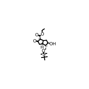 CCOC(=O)[C@@H]1C(=O)C[C@H]2C1C[C@@H](O)[C@@H]2CO[Si](C)(C)C(C)(C)C